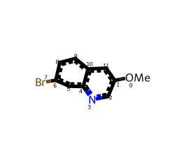 COc1cnc2cc(Br)ccc2c1